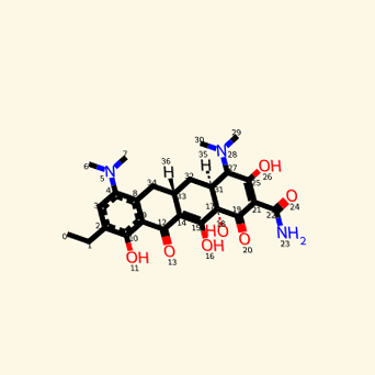 CCc1cc(N(C)C)c2c(c1O)C(=O)C1=C(O)[C@]3(O)C(=O)C(C(N)=O)=C(O)C(N(C)C)[C@@H]3C[C@H]1C2